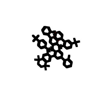 Cc1ccccc1-c1cc2c3c(c1)N(c1ccc(C(C)(C)C)cc1-c1ccccc1)c1cc4sc5ccccc5c4cc1B3N(c1ccc(C(C)(C)C)cc1)c1cc3c(cc1-2)C(C)(C)CCC3(C)C